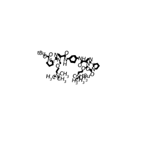 CC(C)(C)OC(=O)N1CCC[C@H]1c1ncc(C(=O)Nc2ccc(NC(=O)c3cnc([C@@H]4CCCN4C(=O)OC(C)(C)C)n3COCC[Si](C)(C)C)cc2)n1COCC[Si](C)(C)C